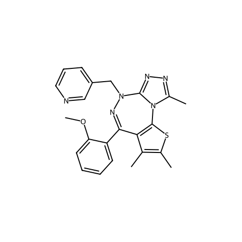 COc1ccccc1C1=NN(Cc2cccnc2)c2nnc(C)n2-c2sc(C)c(C)c21